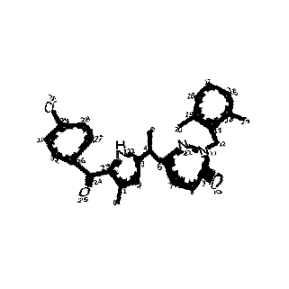 Cc1cc(C(C)c2ccc(=O)n(Cc3c(C)cccc3C)n2)[nH]c1C(=O)c1ccc(Cl)cc1